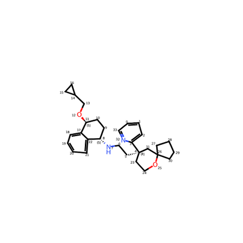 c1ccc([C@]2(CCN[C@H]3CC[C@H](OCC4CC4)c4ccccc43)CCOC3(CCCC3)C2)nc1